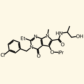 CCc1nc2c(c(OC(C)C)c(C(=O)NC(C)CO)n2C)c(=O)n1Cc1cccc(Cl)c1